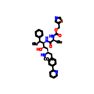 CC(C)(C)C(c1ccccc1)[C@H](NC(=O)[C@@H](NC(=O)OCc1cncs1)C(C)(C)C)[C@@H](O)C[C@H](Cc1ccc(-c2ccccn2)cc1)NC(=O)O